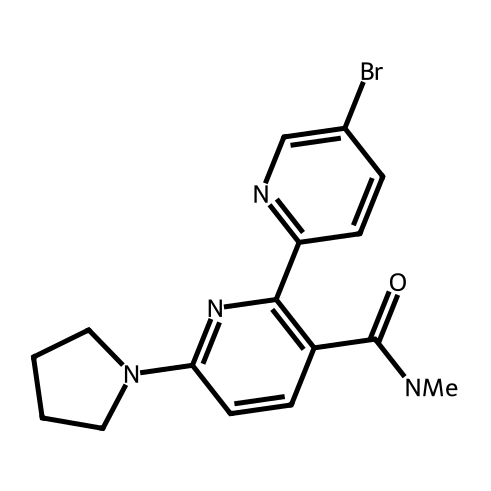 CNC(=O)c1ccc(N2CCCC2)nc1-c1ccc(Br)cn1